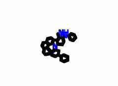 N=Cc1c(Nc2ccccc2)ccc2c1c1ccc3ccc4ccccc4c3c1n2C1=CC=CC(c2ccccc2)C1